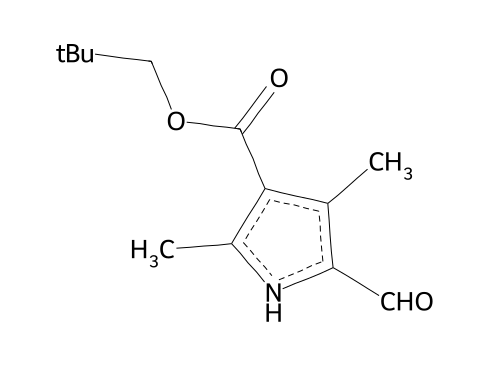 Cc1[nH]c(C=O)c(C)c1C(=O)OCC(C)(C)C